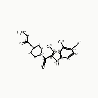 NCC(=O)N1CCN(C(=O)c2[nH]c3ccc(F)c(Cl)c3c2Cl)CC1